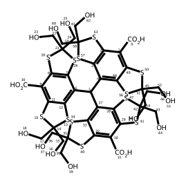 O=C(O)c1c2c(c([C](c3c4c(c(C(=O)O)c5c3SC(CO)(CO)S5)SC(CO)(CO)S4)c3c4c(c(C(=O)O)c5c3SC(CO)(CO)S5)SC(CO)(CO)S4)c3c1SC(CO)(CO)S3)SC(CO)(CO)S2